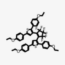 CCOc1ccc(-c2cc(C3=C(c4cc(-c5ccc(OCC)cc5)sc4-c4ccc(OCC)cc4)C(F)(F)C(F)(F)C3(F)F)c(-c3ccc(OCC)cc3)s2)cc1